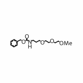 COCCOCCOCCCNC(=O)OCc1ccccc1